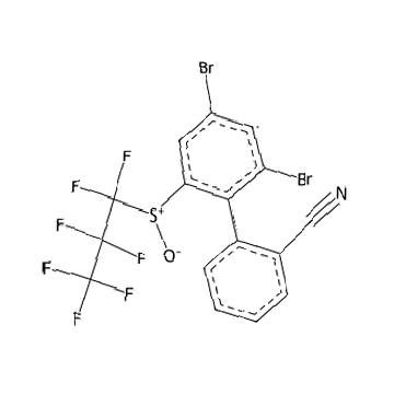 N#Cc1ccccc1-c1c(Br)[c]c(Br)cc1[S+]([O-])C(F)(F)C(F)(F)C(F)(F)F